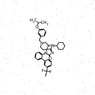 CC(C)Oc1cccc(CN2CCC3(CC2)C(NC2CCCCC2)=NC(=O)N3c2ccccc2-c2cccc(C(F)(F)F)c2)c1